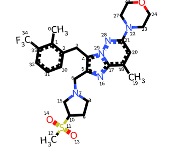 Cc1c(Cc2c(CN3CCC(S(C)(=O)=O)C3)nc3c(C)cc(N4CCOCC4)nn23)cccc1C(F)(F)F